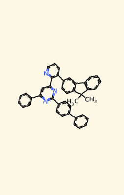 CC1(C)c2ccccc2-c2cc(-c3cccnc3-c3cc(-c4ccccc4)nc(-c4ccc(-c5ccccc5)cc4)n3)ccc21